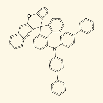 c1ccc(-c2ccc(N(c3ccc(-c4ccccc4)cc3)c3cccc4c3-c3ccccc3C43c4ccccc4Oc4cc5ccccc5cc43)cc2)cc1